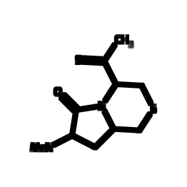 CNC1CC2CSCC(C(C)=S)N2C1=O